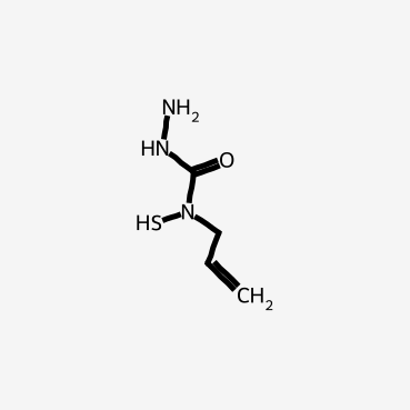 C=CCN(S)C(=O)NN